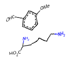 COc1cccc(C=O)c1.NCCCCC(N)C(=O)O